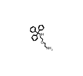 NCCOCCNC(c1ccccc1)(c1ccccc1)c1ccccc1